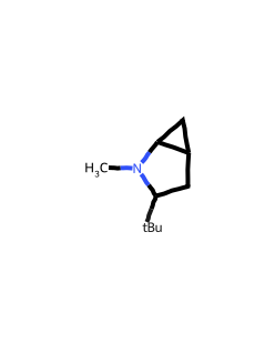 CN1C2CC2CC1C(C)(C)C